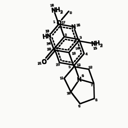 COc1ccc(N2C3CCC2CC(c2c(N)nc(N)[nH]c2=O)C3)cc1